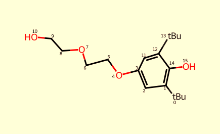 CC(C)(C)c1cc(OCCOCCO)cc(C(C)(C)C)c1O